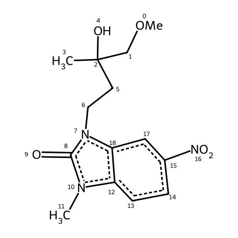 COCC(C)(O)CCn1c(=O)n(C)c2ccc([N+](=O)[O-])cc21